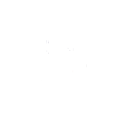 CC(C)C[C@H](CO)Nc1cnn(Cc2ccccc2)c1